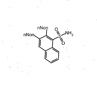 CCCCCCCCCc1cc2ccccc2c(S(N)(=O)=O)c1CCCCCCCCC